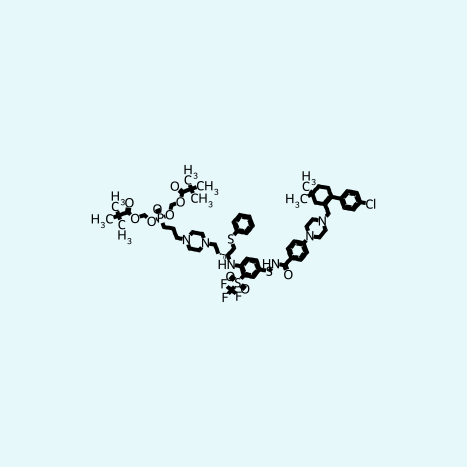 CC1(C)CCC(c2ccc(Cl)cc2)=C(CN2CCN(c3ccc(C(=O)NSc4ccc(N[C@H](CCN5CCN(CCCP(=O)(OCOC(=O)C(C)(C)C)OCOC(=O)C(C)(C)C)CC5)CSc5ccccc5)c(S(=O)(=O)C(F)(F)F)c4)cc3)CC2)C1